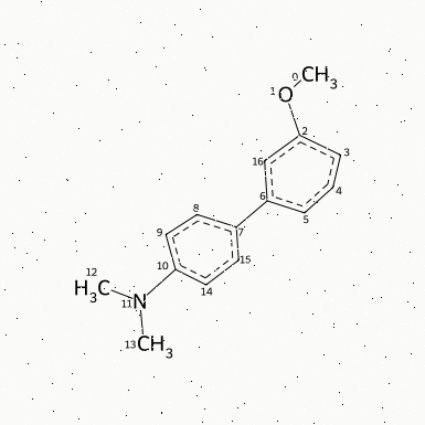 COc1cccc(-c2ccc(N(C)C)cc2)c1